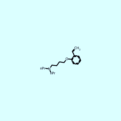 C=Cc1ccccc1OCCCCN(CCC)CCC